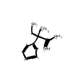 CC(CN)(C(=N)N)c1ccccc1